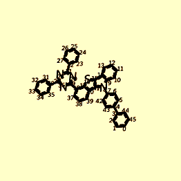 c1ccc(-c2ccc(-n3c4ccccc4c4sc5c(-c6nc(-c7ccccc7)nc(-c7ccccc7)n6)cccc5c43)cc2)cc1